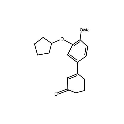 COc1ccc(C2=CC(=O)CCC2)cc1OC1CCCC1